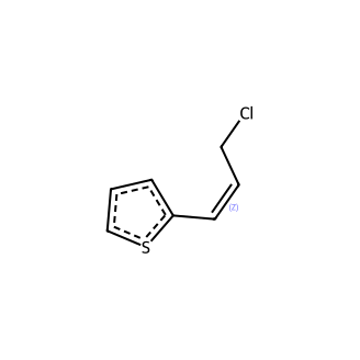 ClC/C=C\c1cccs1